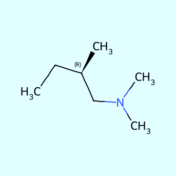 CC[C@@H](C)CN(C)C